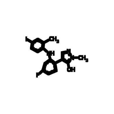 Cc1cc(I)ccc1Nc1cc(F)ccc1-c1cnn(C)c1O